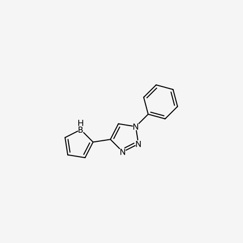 B1C=CC=C1c1cn(-c2ccccc2)nn1